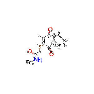 CC1=C(SCC(=O)NC(C)C)C(=O)c2ccccc2C1=O